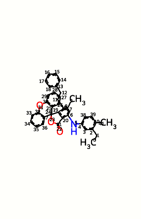 CCc1cc(Nc2cc(C)c(CCc3ccccc3)c3c2C(=O)OC32c3ccccc3Oc3ccccc32)ccc1C